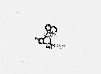 C1=Cc2ccccc2NN=C1.CCOC(=O)c1ncn2c1CN(C)C(=O)c1cc(F)ccc1-2